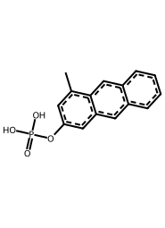 Cc1cc(OP(=O)(O)O)cc2cc3ccccc3cc12